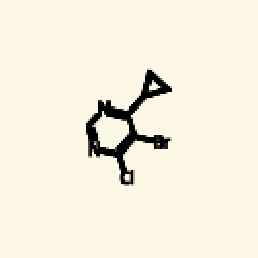 Clc1ncnc(C2CC2)c1Br